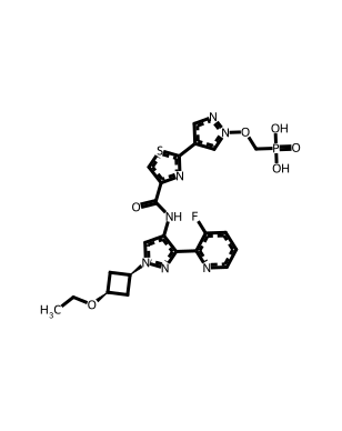 CCO[C@H]1C[C@@H](n2cc(NC(=O)c3csc(-c4cnn(OCP(=O)(O)O)c4)n3)c(-c3ncccc3F)n2)C1